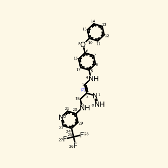 N=N/C(=C\Nc1ccc(Oc2ccccc2)cc1)CNc1cncc(C(F)(F)F)c1